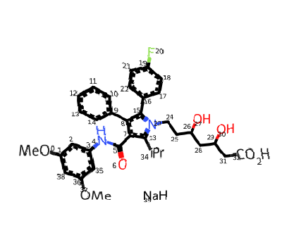 COc1cc(NC(=O)c2c(-c3ccccc3)c(-c3ccc(F)cc3)n(CCC(O)CC(O)CC(=O)O)c2C(C)C)cc(OC)c1.[NaH]